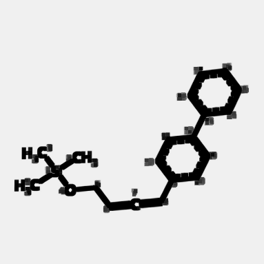 C[Si](C)(C)OCC=C=Cc1ccc(-c2ccccc2)cc1